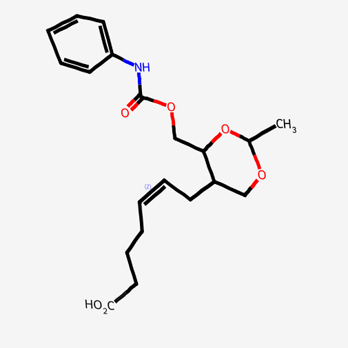 CC1OCC(C/C=C\CCCC(=O)O)C(COC(=O)Nc2ccccc2)O1